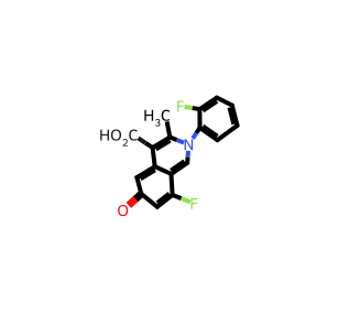 Cc1c(C(=O)O)c2cc(=O)cc(F)c-2cn1-c1ccccc1F